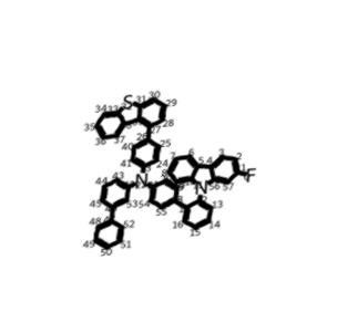 Fc1ccc2c3ccccc3n(-c3ccccc3-c3ccc(N(c4ccc(-c5cccc6sc7ccccc7c56)cc4)c4cccc(-c5ccccc5)c4)cc3)c2c1